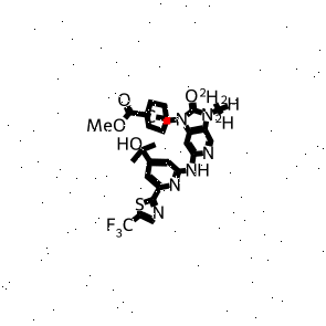 [2H]C([2H])([2H])n1c(=O)n(C23CCC(C(=O)OC)(CC2)CC3)c2cc(Nc3cc(C(C)(C)O)cc(-c4ncc(C(F)(F)F)s4)n3)ncc21